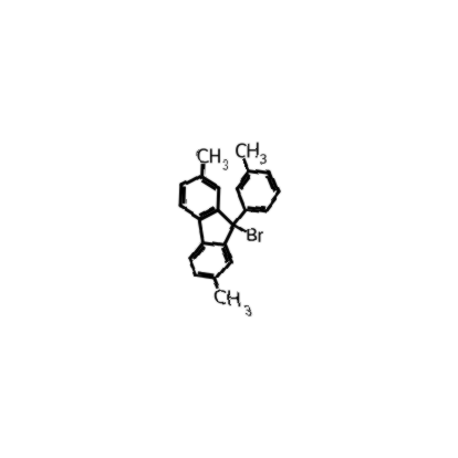 Cc1cccc(C2(Br)c3cc(C)ccc3-c3ccc(C)cc32)c1